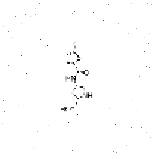 O=C(NC1CNC(CO)C1)c1ccc(Cl)s1